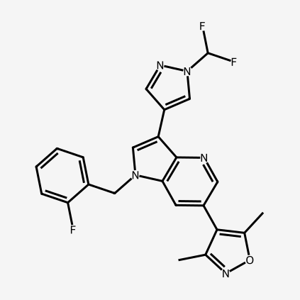 Cc1noc(C)c1-c1cnc2c(-c3cnn(C(F)F)c3)cn(Cc3ccccc3F)c2c1